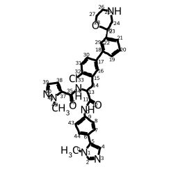 Cn1cncc1-c1ccc(NC(=O)C(Cc2cc(-c3cccc([C@@H]4CNCCO4)c3)ccc2Cl)NC(=O)c2ccnn2C)cc1